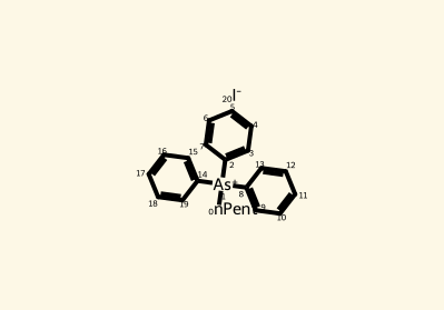 CCCCC[As+](c1ccccc1)(c1ccccc1)c1ccccc1.[I-]